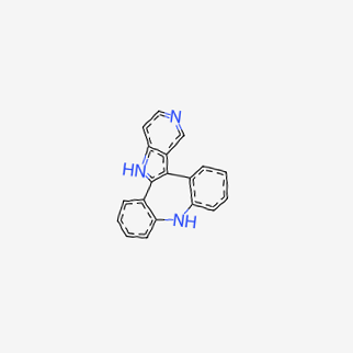 c1ccc2c(c1)Nc1ccccc1-c1c-2[nH]c2ccncc12